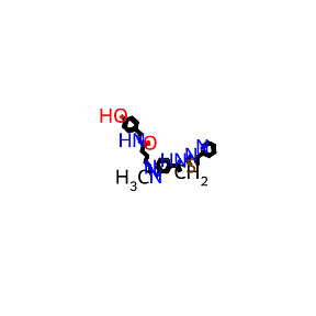 C=C(Nc1nc(-c2ccccn2)cs1)c1ccc2c(c1)nc(C)n2CCCC(=O)NCc1ccc(O)cc1